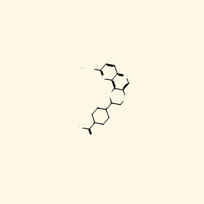 COc1ccc2ncc3c(c2n1)OC(C1CCC(C(N)=O)CC1)CN3